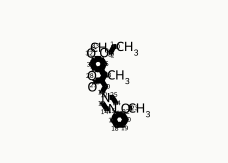 CCCOc1cc2c(C)c(CCN3CCN(c4ccccc4OC)CC3)c(=O)oc2cc1OC